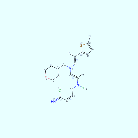 C/C(=C\N(/C=C(\C)N(F)C/C=C\C(=N)Cl)CC1CCOCC1)c1ccc(C)s1